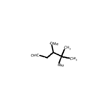 CCCCC(C)(C)C(CC=O)OC